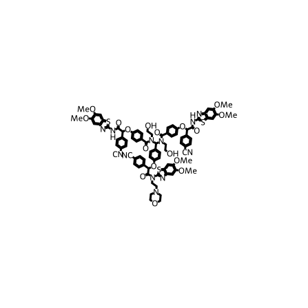 COc1cc2nc(NC(=O)C(Oc3ccc(C(=O)N(CCO)C(c4ccc(OC(C(=O)N(CCN5CCOCC5)c5nc6cc(OC)c(OC)cc6s5)c5ccc(C#N)cc5)cc4)N(CCO)C(=O)c4ccc(OC(C(=O)Nc5nc6cc(OC)c(OC)cc6s5)c5ccc(C#N)cc5)cc4)cc3)c3ccc(C#N)cc3)sc2cc1OC